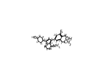 CCc1cc(-c2cc(C3CCC(O)CC3)n3ncnc(N)c23)cc(F)c1CO